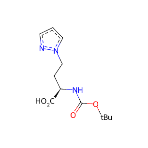 CC(C)(C)OC(=O)N[C@H](CCn1cccn1)C(=O)O